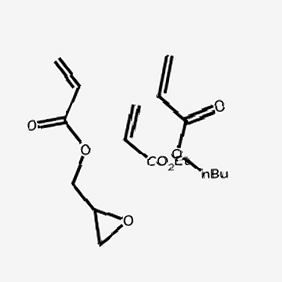 C=CC(=O)OCC.C=CC(=O)OCC1CO1.C=CC(=O)OCCCC